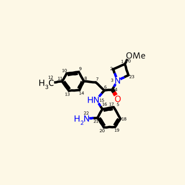 COC1CN(C(=O)C(Cc2ccc(C)cc2)Nc2ccccc2N)C1